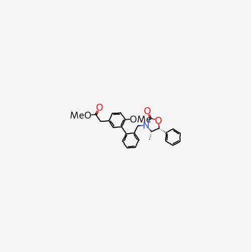 COC(=O)Cc1ccc(OC)c(-c2ccccc2CN2C(=O)O[C@H](c3ccccc3)[C@@H]2C)c1